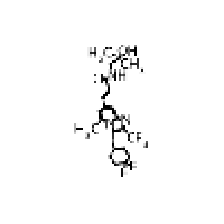 Cc1cc(C=CC(=O)NCC(C)(C)O)cc2nc(C(F)(F)F)c(CC3CCC(F)(F)CC3)n12